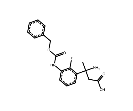 CC(N)(CC(=O)O)c1cccc(NC(=O)OCc2ccccc2)c1F